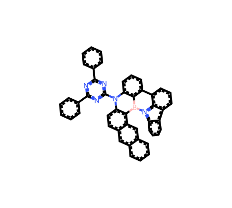 c1ccc(-c2nc(-c3ccccc3)nc(N3c4cccc5c4B(c4c3ccc3cc6ccccc6cc43)n3c4ccccc4c4cccc-5c43)n2)cc1